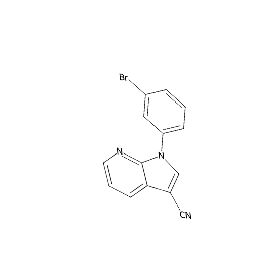 N#Cc1cn(-c2cccc(Br)c2)c2ncccc12